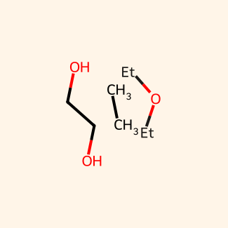 CC.CCOCC.OCCO